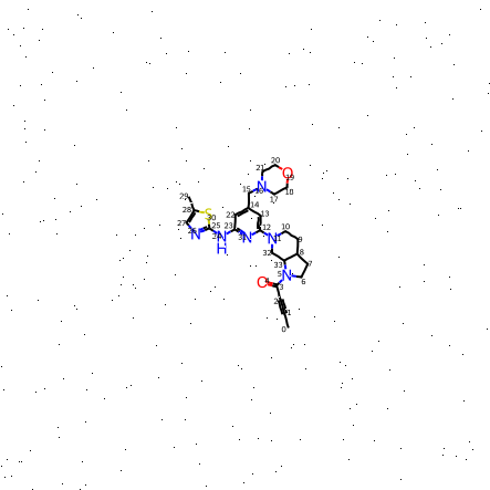 CC#CC(=O)N1CCC2CCN(c3cc(CN4CCOCC4)cc(Nc4ncc(C)s4)n3)CC21